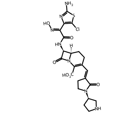 Nc1nc(C(=NO)C(=O)N[C@@H]2C(=O)N3C(C(=O)O)=C(C=C4CCN([C@@H]5CCNC5)C4=O)CC[C@H]23)c(Cl)s1